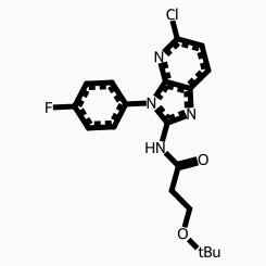 CC(C)(C)OCCC(=O)Nc1nc2ccc(Cl)nc2n1-c1ccc(F)cc1